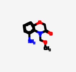 COCN1C(=O)COc2cccc(N)c21